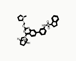 CN1CCC[C@H]1COc1nc(N2C[C@H]3CC[C@@H](C2)N3)c2ccc(-c3cccc(NS(=O)(=O)C4CCc5ccccc54)c3)cc2n1